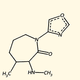 CNC1C(=O)N(c2cocn2)CCCC1C